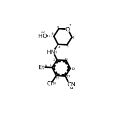 CCc1c(N[C@@H]2CCOC[C@H]2O)ccc(C#N)c1Cl